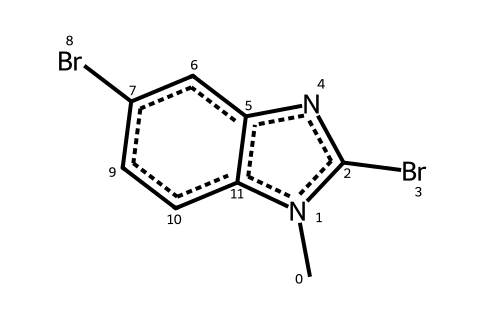 Cn1c(Br)nc2cc(Br)ccc21